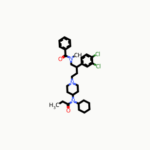 CCC(=O)N(C1CCCCC1)C1CCN(CCC(CN(C)C(=O)c2ccccc2)c2ccc(Cl)c(Cl)c2)CC1